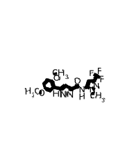 COc1ccc(OC)c(-c2cc(C(=O)Nc3cc(C(F)(F)F)nn3C)n[nH]2)c1